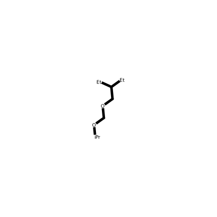 CCC(CC)COCOC(C)C